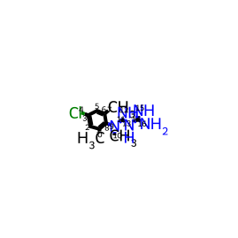 Cc1cc(Cl)cc(C)c1N(C)C(=N)NC(=N)N